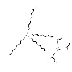 C=CCCCC=CCO[Si](OCC=CCCCC=C)(OCC=CCCCC=C)OCC=CCCCC=C.CCCC=C(CC)CO[Si](C)(OCC(=CCCC)CC)OCC(=CCCC)CC